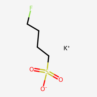 O=S(=O)([O-])CCCCF.[K+]